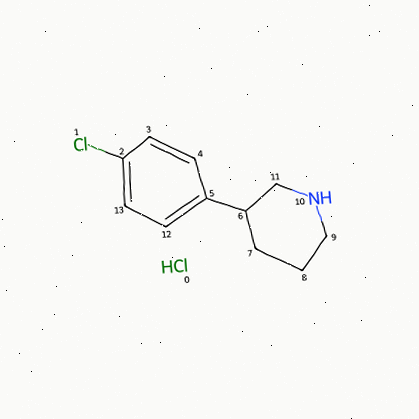 Cl.Clc1ccc(C2CCCNC2)cc1